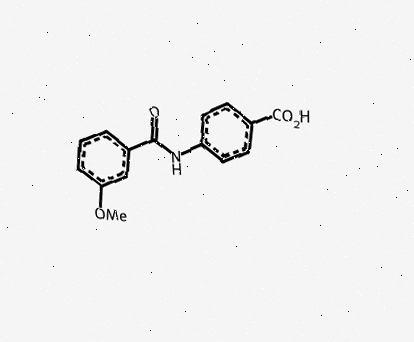 COc1cccc(C(=O)Nc2ccc(C(=O)O)cc2)c1